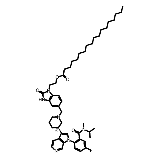 CCCCCCCCCCCCCCCCCC(=O)OCCn1c(=O)[nH]c2cc(CN3CCC[C@H](c4cn(-c5ccc(F)cc5C(=O)N(C)C(C)C)c5cnccc45)C3)ccc21